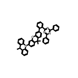 CC1c2ccccc2N(c2ccc3c(c2)Oc2cc(-c4ccccc4-c4nc(-c5ccccc5)nc(-c5ccccc5)n4)ccc2C3(C)C)c2ccccc21